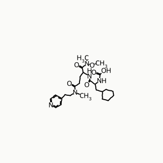 CON(C)C(=O)C(CCC(=O)N(C)CCc1ccncc1)NC(=O)C(CC1CCCCC1)NC(=O)O